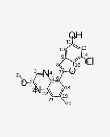 COc1cnc2c(-c3cc4cc(O)cc(Cl)c4o3)cc(C)cc2n1